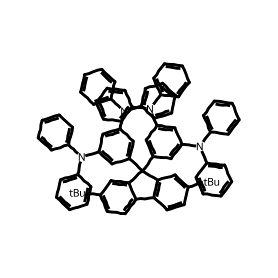 CC(C)(C)c1ccc2c(c1)C(c1cc(N(c3ccccc3)c3ccccc3)cc(N(c3ccccc3)c3ccccc3)c1)(c1cc(N(c3ccccc3)c3ccccc3)cc(N(c3ccccc3)c3ccccc3)c1)c1cc(C(C)(C)C)ccc1-2